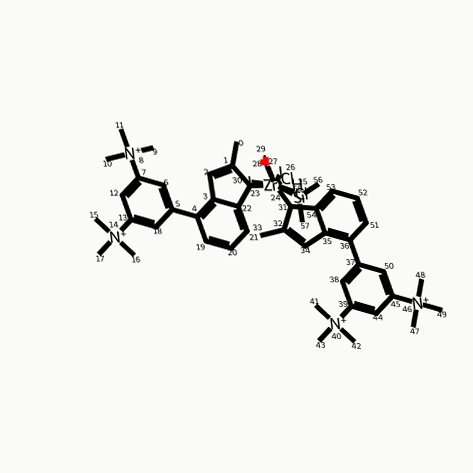 CC1=Cc2c(-c3cc([N+](C)(C)C)cc([N+](C)(C)C)c3)cccc2[CH]1[Zr]([Cl])([Cl])([I])([I])([I])([I])([CH]1C(C)=Cc2c(-c3cc([N+](C)(C)C)cc([N+](C)(C)C)c3)cccc21)[SiH](C)C